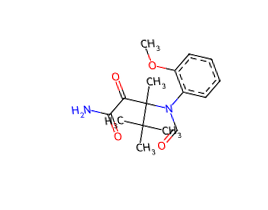 COc1ccccc1N(C=O)C(C)(C(=O)C(N)=O)C(C)(C)C